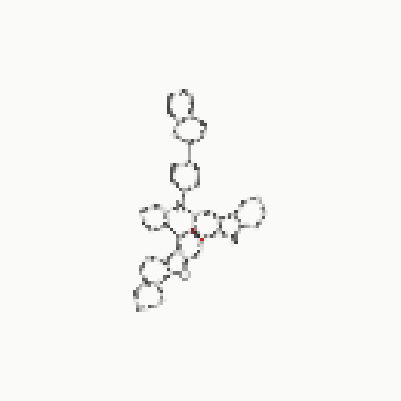 c1ccc(N(c2ccc(-c3ccc4ccccc4c3)cc2)c2ccc3sc4ccccc4c3c2)c(-c2cccc3oc4c5ccccc5ccc4c23)c1